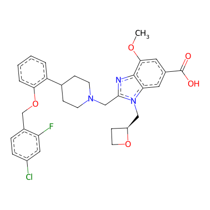 COc1cc(C(=O)O)cc2c1nc(CN1CCC(c3ccccc3OCc3ccc(Cl)cc3F)CC1)n2C[C@@H]1CCO1